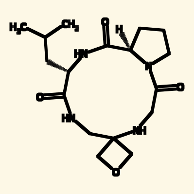 CC(C)C[C@@H]1NC(=O)[C@H]2CCCN2C(=O)CNC2(CNC1=O)COC2